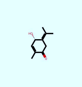 CC1=C[C@H](O)C(=C(C)C)CC1=O